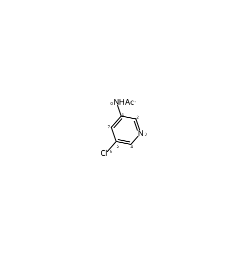 CC(=O)[N]c1cncc(Cl)c1